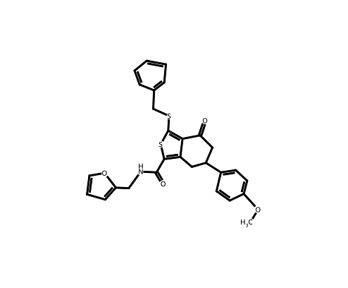 COc1ccc(C2CC(=O)c3c(SCc4ccccc4)sc(C(=O)NCc4ccco4)c3C2)cc1